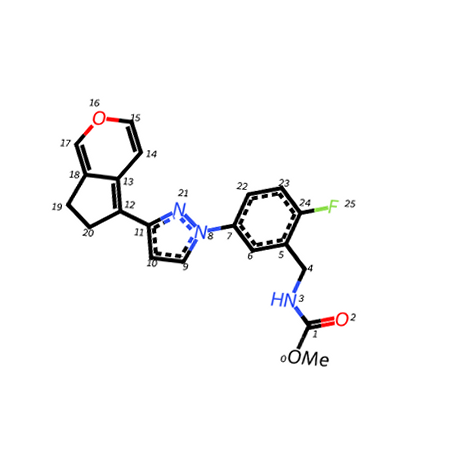 COC(=O)NCc1cc(-n2ccc(C3=C4C=COC=C4CC3)n2)ccc1F